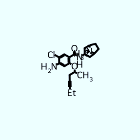 CCC#CCC(C)Oc1cc(N)c(Cl)cc1C(=O)NC1CC2CCC(C1)N2C